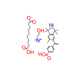 C=C(c1ccc(C(=O)O)cc1)c1cc2c(cc1C)C(C)(C)CCC2(C)C.C[N+](C)(C)CCO.I.O=C([O-])CCCCCCCCC(=O)O